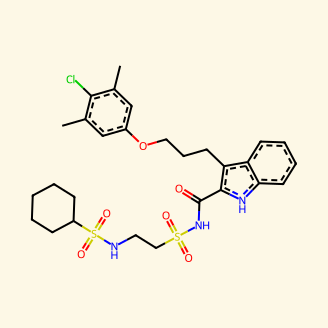 Cc1cc(OCCCc2c(C(=O)NS(=O)(=O)CCNS(=O)(=O)C3CCCCC3)[nH]c3ccccc23)cc(C)c1Cl